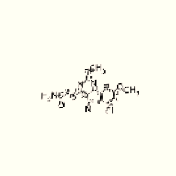 COc1cc(Cl)cc(-c2nc(SC)nc(SCC(N)=O)c2C#N)c1